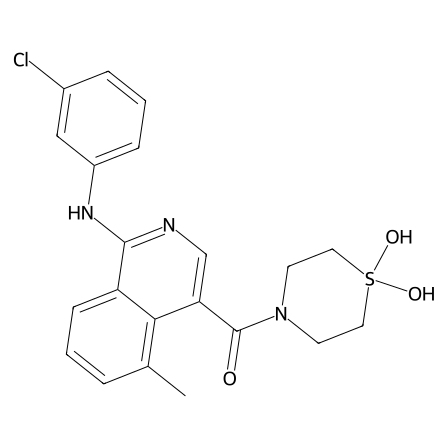 Cc1cccc2c(Nc3cccc(Cl)c3)ncc(C(=O)N3CCS(O)(O)CC3)c12